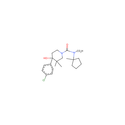 CC1(N(C(=O)O)C(=O)N2CCC(O)(c3ccc(Cl)cc3)C(C)(C)C2)CCCC1